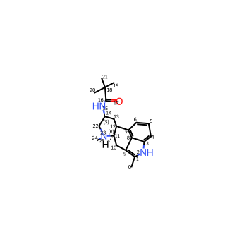 Cc1[nH]c2cccc3c2c1C[C@@H]1C3C[C@H](NC(=O)C(C)(C)C)CN1C